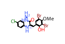 COc1c(Br)cc(/C=C(/Nc2ccc(Cl)cc2)C(=O)NN)c(O)c1Br